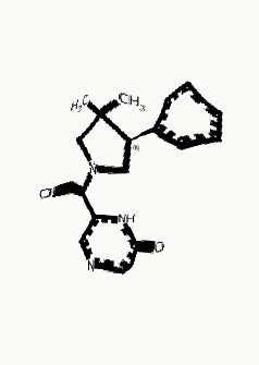 CC1(C)CN(C(=O)c2cncc(=O)[nH]2)C[C@@H]1c1ccccc1